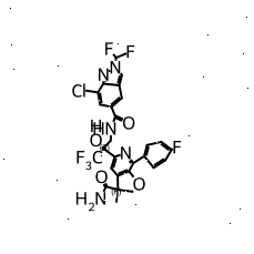 C[C@]1(C(N)=O)COc2c1cc([C@@](O)(CNC(=O)c1cc(Cl)c3nn(C(F)F)cc3c1)C(F)(F)F)nc2-c1ccc(F)cc1